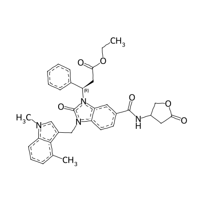 CCOC(=O)C[C@H](c1ccccc1)n1c(=O)n(Cc2cn(C)c3cccc(C)c23)c2ccc(C(=O)NC3COC(=O)C3)cc21